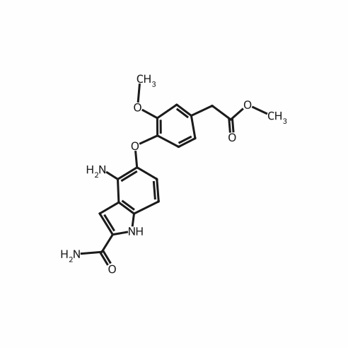 COC(=O)Cc1ccc(Oc2ccc3[nH]c(C(N)=O)cc3c2N)c(OC)c1